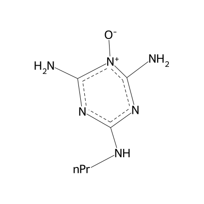 CCCNc1nc(N)[n+]([O-])c(N)n1